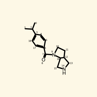 CC(C)c1ccc(C(=O)N2CCC3CNCC32)cc1